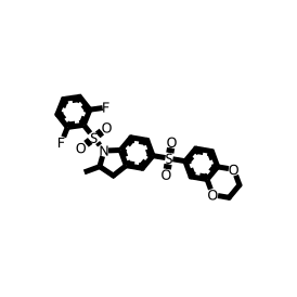 CC1Cc2cc(S(=O)(=O)c3ccc4c(c3)OCCO4)ccc2N1S(=O)(=O)c1c(F)cccc1F